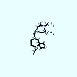 C[C@@H]1CN(CN2CCN(C)C3(COC3)C2)C[C@H](C)N1C